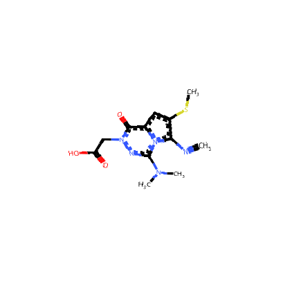 C=Nc1c(SC)cc2c(=O)n(CC(=O)O)nc(N(C)C)n12